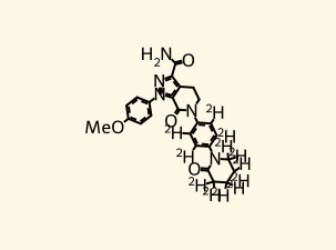 [2H]c1c([2H])c(N2C(=O)C([2H])([2H])C([2H])([2H])C([2H])([2H])C2([2H])[2H])c([2H])c([2H])c1N1CCc2c(C(N)=O)nn(-c3ccc(OC)cc3)c2C1=O